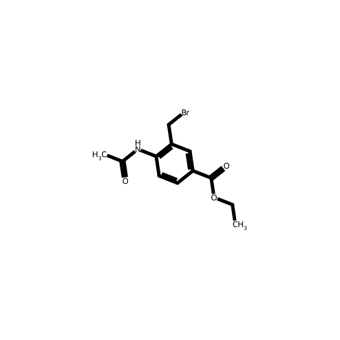 CCOC(=O)c1ccc(NC(C)=O)c(CBr)c1